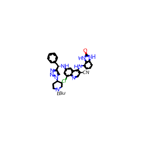 CC(C)(C)N1CCC(n2cc([C@@H](Nc3cc(Cl)c4ncc(C#N)c(Nc5cccc6[nH]c(=O)[nH]c56)c4c3)c3ccccc3)nn2)CC1